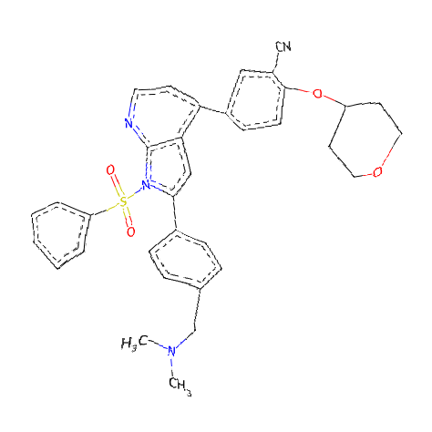 CN(C)Cc1ccc(-c2cc3c(-c4ccc(OC5CCOCC5)c(C#N)c4)ccnc3n2S(=O)(=O)c2ccccc2)cc1